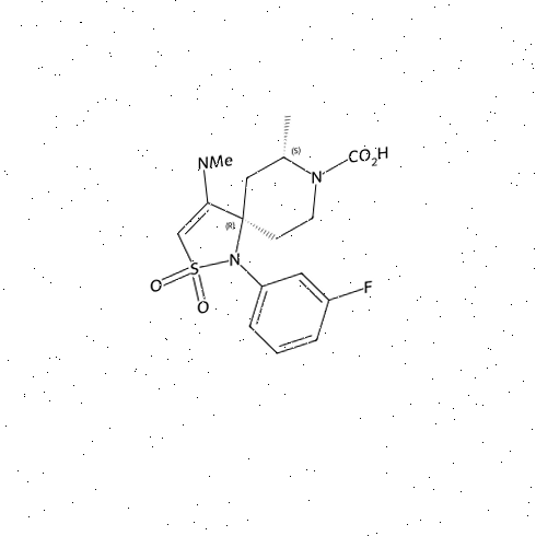 CNC1=CS(=O)(=O)N(c2cccc(F)c2)[C@@]12CCN(C(=O)O)[C@@H](C)C2